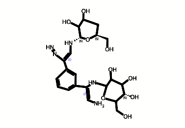 N=N/C(=C\N[C@H]1O[C@H](CO)CC(O)C1O)c1cccc(/C(=C/N)NC2OC(CO)[C@@H](O)C(O)C2O)c1